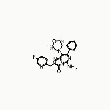 C[C@@H]1CN(c2c(-c3ccccc3)nc(N)n3c(=O)n(Cc4ccc(F)cn4)nc23)C[C@H](C)O1